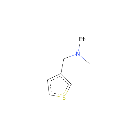 C[CH]N(C)Cc1ccsc1